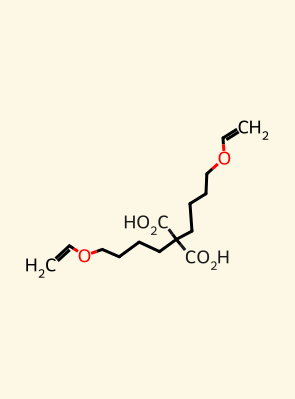 C=COCCCCC(CCCCOC=C)(C(=O)O)C(=O)O